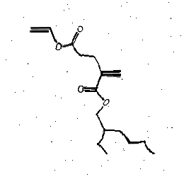 C=COC(=O)CCC(=C)C(=O)OCC(CC)CCCC